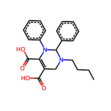 CCCCN1CC(C(=O)O)=C(C(=O)O)N(c2ccccc2)C1c1ccccc1